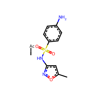 CC(C)=O.Cc1cc(NS(=O)(=O)c2ccc(N)cc2)no1